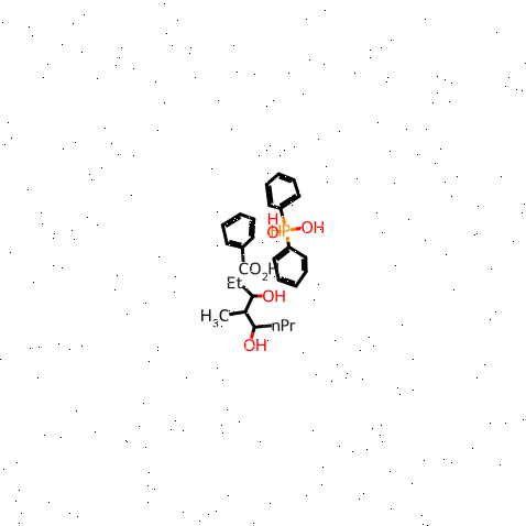 CCCC(O)C(C)C(O)CC.O=C(O)c1ccccc1.O[PH](O)(c1ccccc1)c1ccccc1